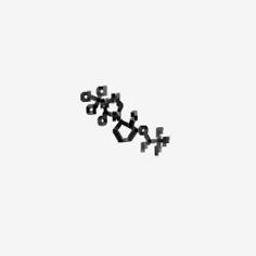 O=c1n(C2C=CC=C(OC(F)C(F)(F)F)C2=S)cnn1C(Cl)(Cl)Cl